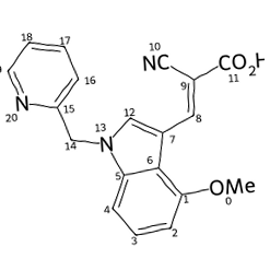 COc1cccc2c1c(/C=C(\C#N)C(=O)O)cn2Cc1ccccn1